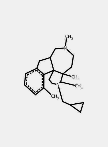 Cc1cccc2c1C13CCN(CC4CC4)C(C)C1(C)CCN(C)CC3C2